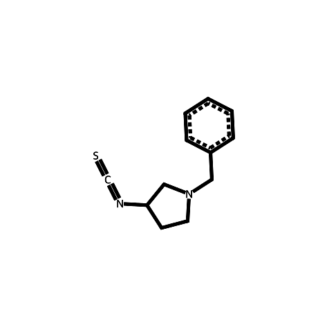 S=C=NC1CCN(Cc2ccccc2)C1